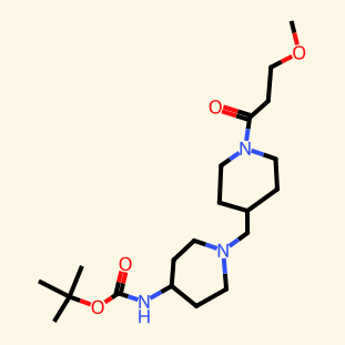 COCCC(=O)N1CCC(CN2CCC(NC(=O)OC(C)(C)C)CC2)CC1